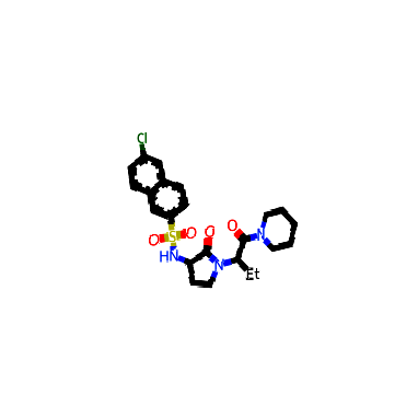 CCC(C(=O)N1CCCCC1)N1CCC(NS(=O)(=O)c2ccc3cc(Cl)ccc3c2)C1=O